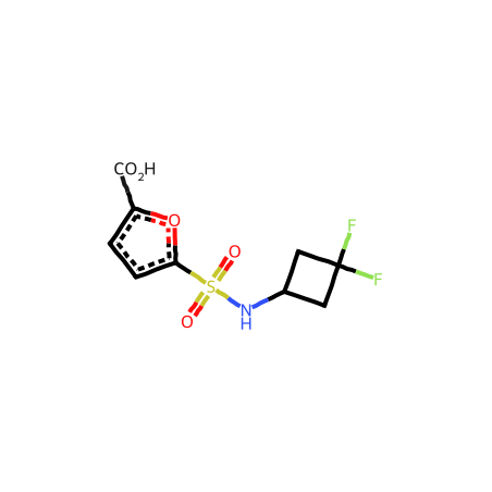 O=C(O)c1ccc(S(=O)(=O)NC2CC(F)(F)C2)o1